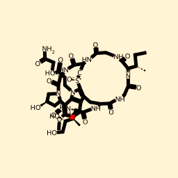 CC[C@H](C)[C@@H]1NC(=O)CNC(=O)C2Cc3c(n(CCC(=O)O)c4cc(OC)ccc34)[S@+]([O-])CC(NC(=O)CNC1=O)C(=O)N[C@@H](CCC(N)=O)C(=O)N1C[C@H](O)C[C@]1(C=O)N[C@@H]([C@@H](C)[C@@H](O)CO)C(=O)N2